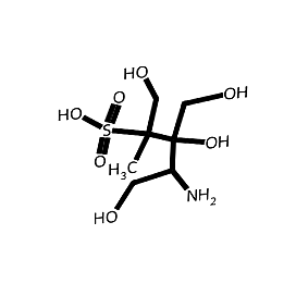 CC(CO)(C(O)(CO)C(N)CO)S(=O)(=O)O